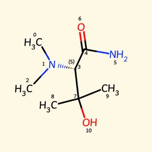 CN(C)[C@H](C(N)=O)C(C)(C)O